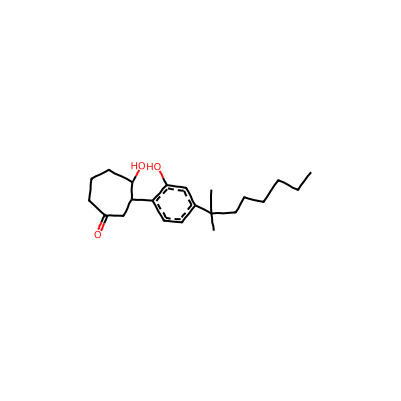 CCCCCCC(C)(C)c1ccc(C2CC(=O)CCCC2O)c(O)c1